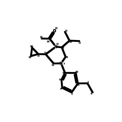 CCc1cccc(N2CC(C(C)C)N(C(C)=O)C(C3CC3)C2)c1